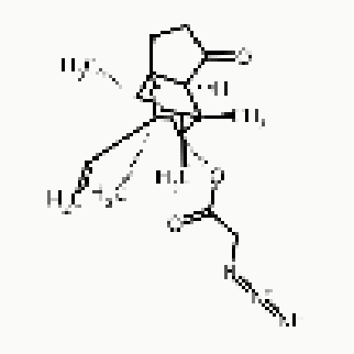 C=C[C@@]1(C)C[C@H](C)[C@]23CCC(=O)[C@H]2[C@@](C)([C@H](C)CC3)[C@H](OC(=O)CN=[N+]=N)C1